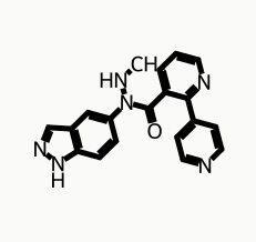 CNN(C(=O)c1cccnc1-c1ccncc1)c1ccc2[nH]ncc2c1